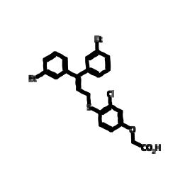 CCc1cccc(C(=CCSc2ccc(OCC(=O)O)cc2Cl)c2cccc(CC)c2)c1